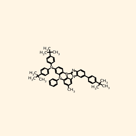 Cc1cc2c3c(c1)-n1c(nc4ccc(-c5ccc(C(C)(C)C)cc5)cc41)B3c1ccc(N(c3ccc(C(C)(C)C)cc3)c3ccc(C(C)(C)C)cc3)cc1N2c1ccccc1